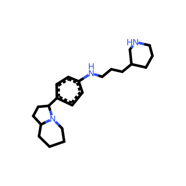 c1cc(C2CCC3CCCCN32)ccc1NCCCC1CCCNC1